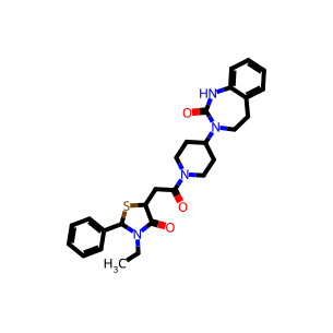 CCN1C(=O)C(CC(=O)N2CCC(N3CCc4ccccc4NC3=O)CC2)SC1c1ccccc1